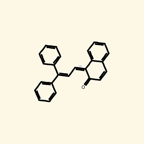 O=C1C=Cc2ccccc2/C1=C/C=C(c1ccccc1)c1ccccc1